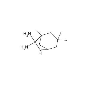 CC1(C)CC2CC(C)(C1)C(N)(N)N2